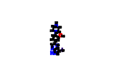 COc1cc(-c2cnc3[nH]cc(I)c3n2)ccc1N1CCN(C)CC1